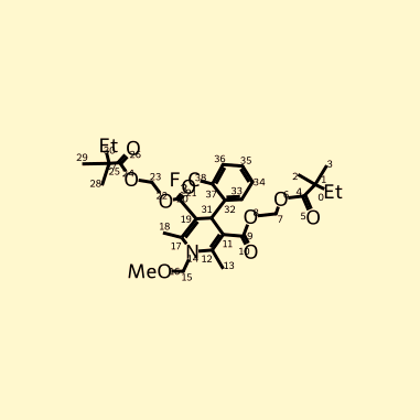 CCC(C)(C)C(=O)OCOC(=O)C1=C(C)N(COC)C(C)=C(C(=O)OCOC(=O)C(C)(C)CC)C1c1ccccc1C(F)(F)F